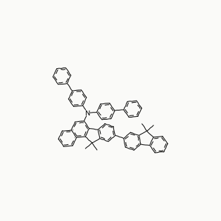 CC1(C)c2ccccc2-c2ccc(-c3ccc4c(c3)C(C)(C)c3c-4c(N(c4ccc(-c5ccccc5)cc4)c4ccc(-c5ccccc5)cc4)cc4ccccc34)cc21